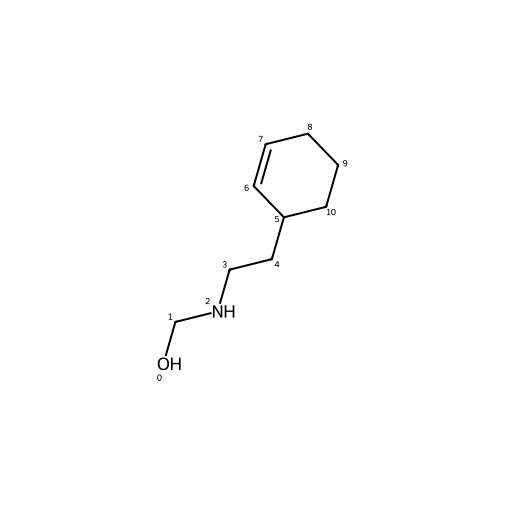 OCNCCC1C=CCCC1